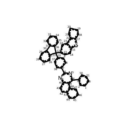 c1ccc(-c2nc(-c3ccc(C4(c5ccc6sc7ccccc7c6c5)c5ccccc5-c5ccccc54)cc3)nc3ccc4ccccc4c23)cc1